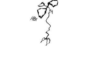 Br.COC(CCCCCCCCPC(c1ccccc1)(c1ccccc1)c1ccccc1)OC